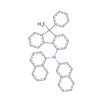 CC1(c2ccccc2)c2ccccc2-c2c(N(c3ccc4ccccc4c3)c3cccc4ccccc34)cccc21